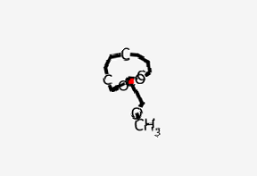 COCC1OC2CCCCCCC(CCCC2)O1